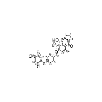 O=C(O)C1CCCN1C(=O)c1cc(C2CC2)c(OCC2CCN(Cc3cc(F)c(Cl)cc3Cl)CC2)cc1F